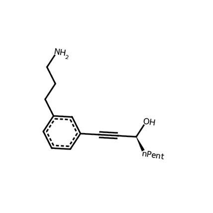 CCCCC[C@H](O)C#Cc1cccc(CCCN)c1